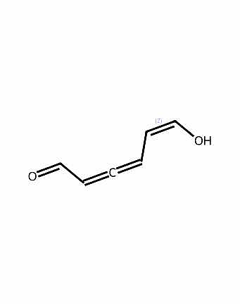 O=CC=C=C/C=C\O